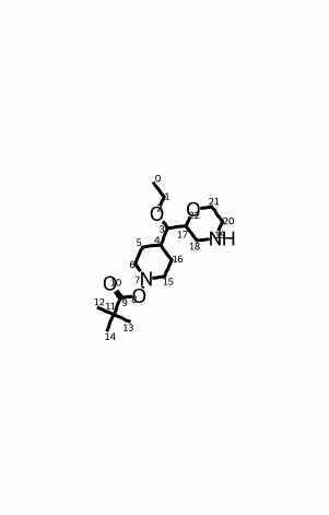 CCOC(C1CCN(OC(=O)C(C)(C)C)CC1)C1CNCCO1